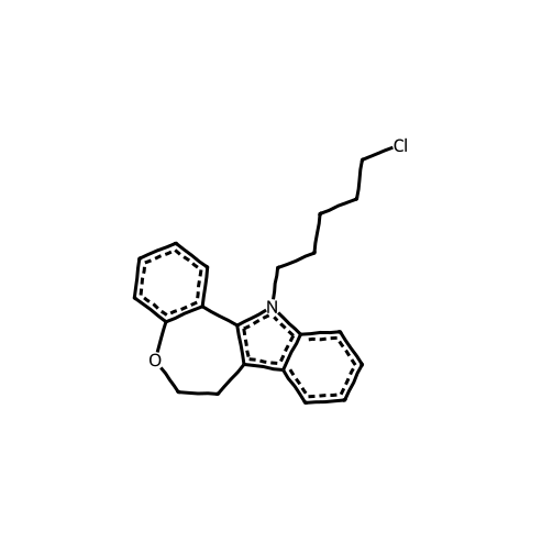 ClCCCCCn1c2c(c3ccccc31)CCOc1ccccc1-2